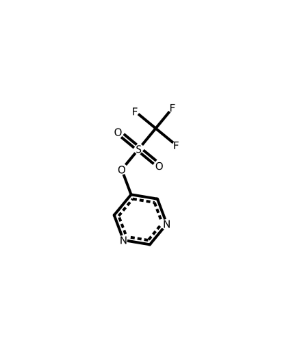 O=S(=O)(Oc1cncnc1)C(F)(F)F